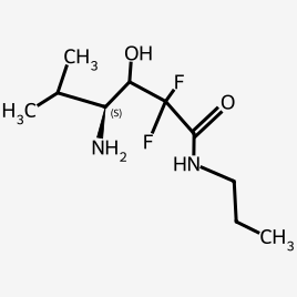 CCCNC(=O)C(F)(F)C(O)[C@@H](N)C(C)C